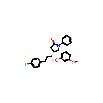 COc1ccc([C@@H]2[C@H](CCCc3ccc(F)cc3)CC(=O)N2c2ccccc2)c(O)c1